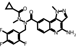 CN(C(=O)C1CC1)N(Cc1cc(F)c(F)cc1F)C(=O)c1ccc2nc(N)c3cnn(C)c3c2c1